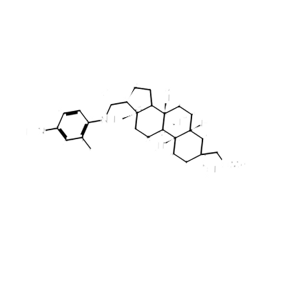 COC[C@@]1(O)CC[C@H]2[C@H](CC[C@H]3C4CC[C@H]([C@@H](C)Nc5ccc(N)cc5C)[C@@]4(C)CC[C@H]23)C1